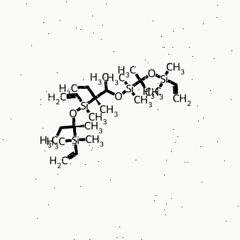 C=C[Si](C)(C)OC(C)(C)[Si](C)(C)OC(C)[C@@](C)(CC)[Si](C)(C=C)O[C@@](C)(CC)[Si](C)(C)C=C